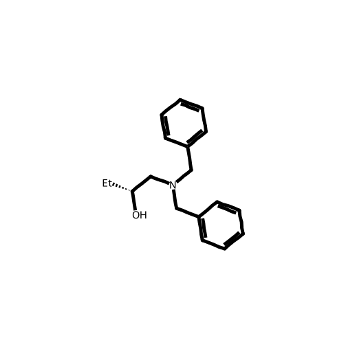 CC[C@@H](O)CN(Cc1ccccc1)Cc1ccccc1